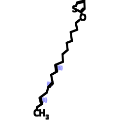 CC/C=C/C/C=C/C/C=C/CCCCCCCCOc1cccs1